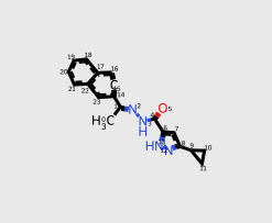 CC(=NNC(=O)c1cc(C2CC2)n[nH]1)c1ccc2ccccc2c1